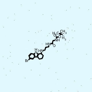 CC(C)(C)OC(=O)NCC(=O)NCCCNC1CCCc2c1[nH]c1ccc(Br)cc21